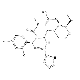 COC(=O)C1=C(CN2CCO[C@H](C(C)C)[C@@H]2OC(=O)O)NC(c2nccs2)=N[C@H]1c1ccc(F)cc1Cl